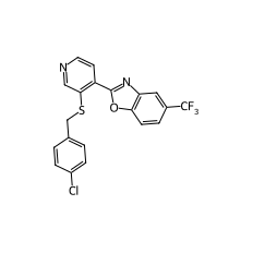 FC(F)(F)c1ccc2oc(-c3ccncc3SCc3ccc(Cl)cc3)nc2c1